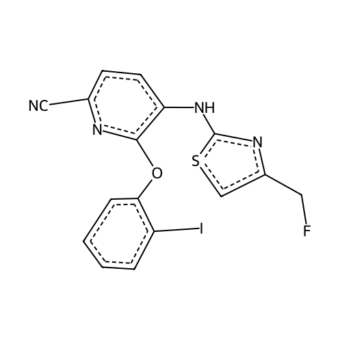 N#Cc1ccc(Nc2nc(CF)cs2)c(Oc2ccccc2I)n1